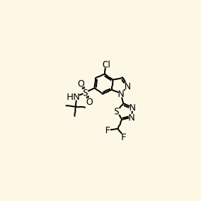 CC(C)(C)NS(=O)(=O)c1cc(Cl)c2cnn(-c3nnc(C(F)F)s3)c2c1